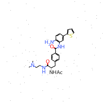 CC(=O)N[C@@H](Cc1ccc(C(=O)Nc2cc(-c3cccs3)ccc2N)cc1)C(=O)NCCN(C)C